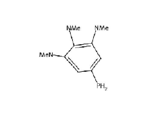 CNc1cc(P)cc(NC)c1NC